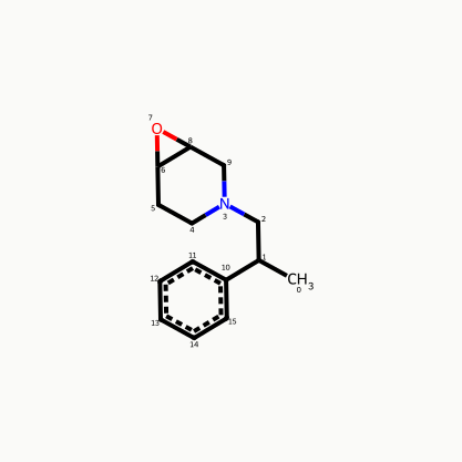 CC(CN1CCC2OC2C1)c1ccccc1